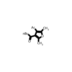 CCCCC(=O)c1c(C)oc(C)c1C(C)=O